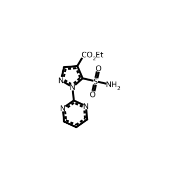 CCOC(=O)c1cnn(-c2ncccn2)c1S(N)(=O)=O